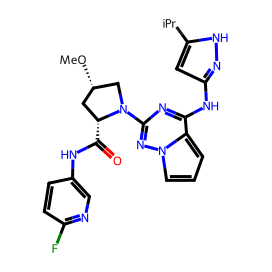 CO[C@H]1C[C@@H](C(=O)Nc2ccc(F)nc2)N(c2nc(Nc3cc(C(C)C)[nH]n3)c3cccn3n2)C1